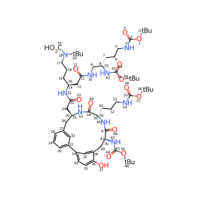 CC(C)(C)OC(=O)NCCC[C@@H](CNC(=O)C[C@H](CCCN(C(=O)O)C(C)(C)C)NC(=O)C[C@@H]1Cc2cccc(c2)-c2ccc(O)c(c2)C[C@H](NC(=O)OC(C)(C)C)C(=O)N[C@@H](CCCNC(=O)OC(C)(C)C)C(=O)N1)NC(=O)OC(C)(C)C